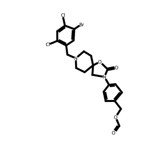 O=COCc1ccc(N2CC3(CCN(Cc4cc(Br)c(Cl)cc4Cl)CC3)OC2=O)cc1